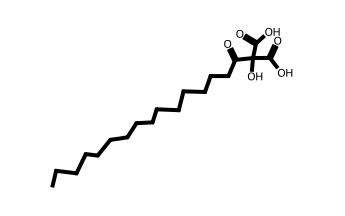 CCCCCCCCCCCCCCCC(=O)C(O)(C(=O)O)C(=O)O